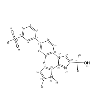 Cc1cc(-c2cccc(S(C)(=O)=O)c2)ccc1-n1cc(C(C)(C)O)nc1-c1ccc(C)n1C